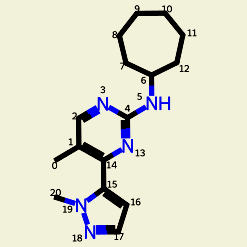 Cc1cnc(NC2CCCCCC2)nc1-c1ccnn1C